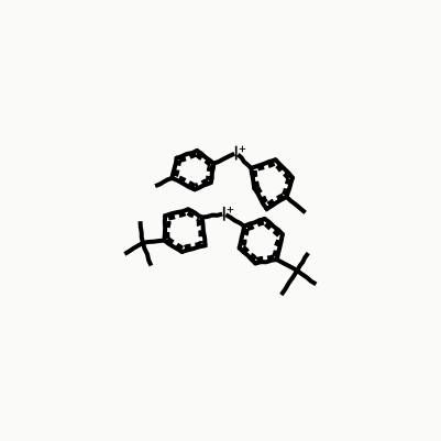 CC(C)(C)c1ccc([I+]c2ccc(C(C)(C)C)cc2)cc1.Cc1ccc([I+]c2ccc(C)cc2)cc1